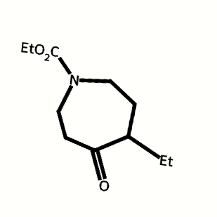 CCOC(=O)N1CCC(=O)C(CC)CC1